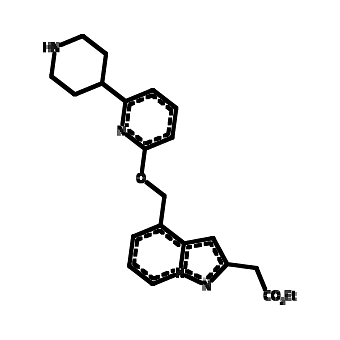 CCOC(=O)Cc1cc2c(COc3cccc(C4CCNCC4)n3)cccn2n1